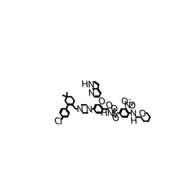 CC1(C)CCC(CN2CCN(c3ccc(C(=O)NS(=O)(=O)c4ccc(NCC5CCCCO5)c([N+](=O)[O-])c4)c(Oc4cnc5[nH]ccc5c4)c3)CC2)=C(c2ccc(Cl)cc2)C1